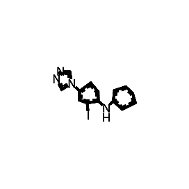 Ic1cc(-n2cnnc2)ccc1Nc1ccccc1